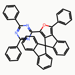 c1ccc(-c2nc(-c3ccccc3)nc(-c3oc(-c4ccccc4)c4c3C3(c5ccccc5-c5ccccc53)c3ccccc3-4)n2)cc1